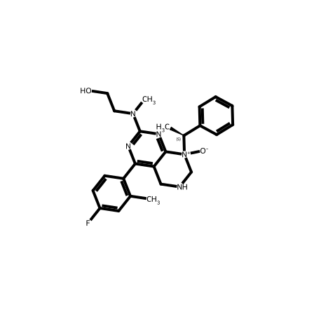 Cc1cc(F)ccc1-c1nc(N(C)CCO)nc2c1CNC[N+]2([O-])[C@@H](C)c1ccccc1